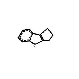 c1ccc2c(c1)[P]C1=C2CCC1